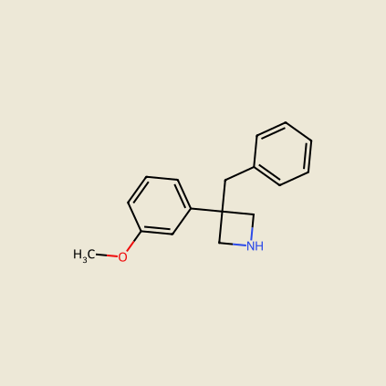 COc1cccc(C2(Cc3ccccc3)CNC2)c1